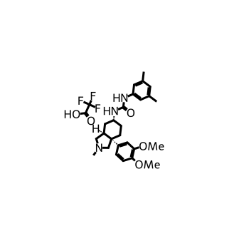 COc1ccc([C@@]23CC[C@@H](NC(=O)Nc4cc(C)cc(C)c4)C[C@@H]2CN(C)C3)cc1OC.O=C(O)C(F)(F)F